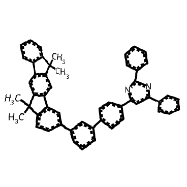 CC1(C)c2ccccc2-c2cc3c(cc21)-c1cc(-c2cccc(-c4ccc(-c5cc(-c6ccccc6)nc(-c6ccccc6)n5)cc4)c2)ccc1C3(C)C